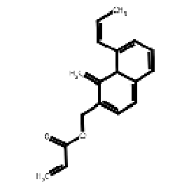 C=CC(=O)OCC1=CC=C2C=CC=C(/C=C\C)C2C1=C